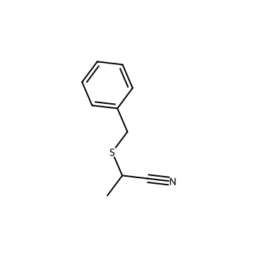 CC(C#N)SCc1ccccc1